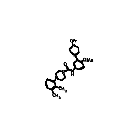 CCCN1CCN(c2cc(NC(=O)N3CCN(c4cccc(C)c4C)CC3)ccc2OC)CC1